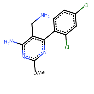 COc1nc(N)c(CN)c(-c2ccc(Cl)cc2Cl)n1